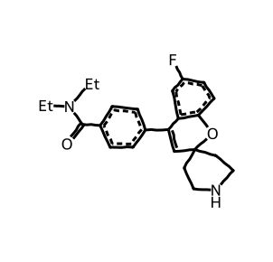 CCN(CC)C(=O)c1ccc(C2=CC3(CCNCC3)Oc3ccc(F)cc32)cc1